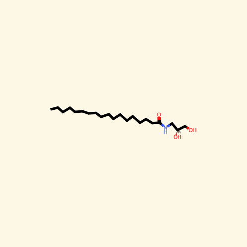 CCCCCCCCCCCCCCCCCC(=O)NC[C@@H](O)CO